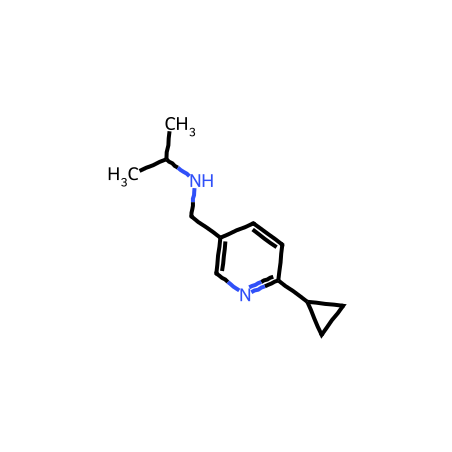 CC(C)NCc1ccc(C2CC2)nc1